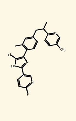 Cc1cc(CC(C)c2ccc(C(F)(F)F)cn2)ccc1-c1nc(-c2ccc(F)nc2)[nH]c1Cl